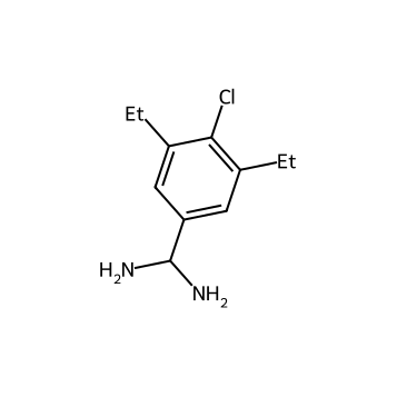 CCc1cc(C(N)N)cc(CC)c1Cl